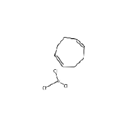 C1=CCCC=CCC1.[Cl][Ir]([Cl])[Cl]